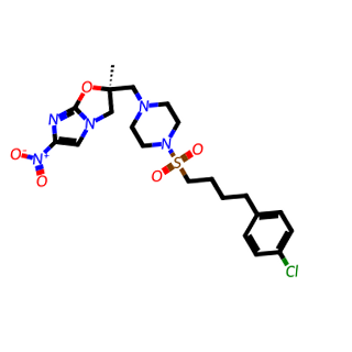 C[C@]1(CN2CCN(S(=O)(=O)CCCCc3ccc(Cl)cc3)CC2)Cn2cc([N+](=O)[O-])nc2O1